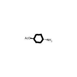 CC(=O)O[C@H]1CC[C@H](N)CC1